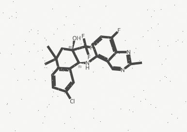 Cc1ncc2c(N[C@H]3c4cc(Cl)ccc4C(C)(C)C[C@]3(O)C(F)(F)F)ccc(F)c2n1